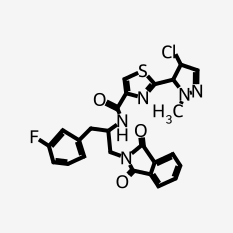 CN1N=CC(Cl)C1c1nc(C(=O)NC(Cc2cccc(F)c2)CN2C(=O)c3ccccc3C2=O)cs1